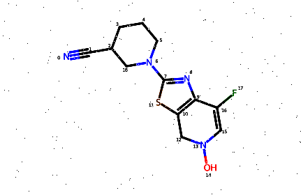 N#CC1CCCN(c2nc3c(s2)CN(O)C=C3F)C1